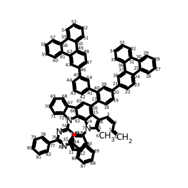 C=C/C=C\c1c(C)n(-c2ccccc2)c2c1c(-c1ccc(-c3ccc4c5ccccc5c5ccccc5c4c3)cc1-c1cccc(-c3ccc4c5ccccc5c5ccccc5c4c3)c1)cc1c3ccccc3n(-c3nc(-c4ccccc4)nc(-c4ccccc4)n3)c12